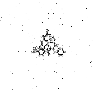 Cc1ccc2c(c1)[C@]1(CCN(C(=O)[C@H](Cc3ccccc3)NC(=O)c3ccc(NC(=O)O)cc3)C1)OC(=O)N2